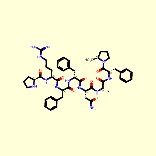 C[C@H](NC(=O)[C@H](CC(N)=O)NC(=O)[C@@H](Cc1ccccc1)NC(=O)[C@@H](Cc1ccccc1)NC(=O)[C@H](CCCNC(=N)N)NC(=O)[C@@H]1CCCN1)C(=O)N[C@@H](Cc1ccccc1)C(=O)N1CCC[C@@H]1C(=O)O